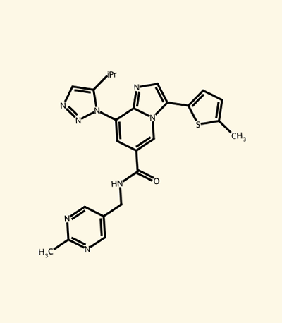 Cc1ncc(CNC(=O)c2cc(-n3nncc3C(C)C)c3ncc(-c4ccc(C)s4)n3c2)cn1